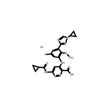 COc1c(Nc2cc(NC(=O)C3CC3)nnc2C(=O)O)cc(F)cc1-c1ncn(C2CC2)n1.[Zn]